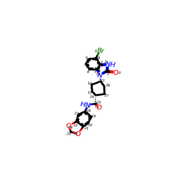 O=c1[nH]c2c(Br)cccc2n1[C@H]1CC[C@@H](C(=O)Nc2ccc3c(c2)OCO3)CC1